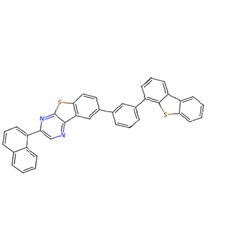 c1cc(-c2ccc3sc4nc(-c5cccc6ccccc56)cnc4c3c2)cc(-c2cccc3c2sc2ccccc23)c1